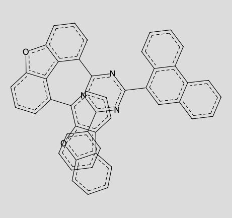 c1ccc(-c2nc(-c3cc4ccccc4c4ccccc34)nc(-c3cccc4oc5cccc(-c6cccc7c6oc6ccccc67)c5c34)n2)cc1